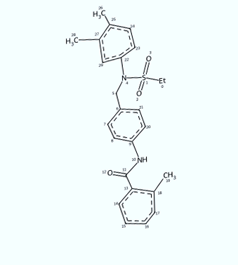 CCS(=O)(=O)N(Cc1ccc(NC(=O)c2ccccc2C)cc1)c1ccc(C)c(C)c1